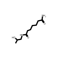 CC(O)CNC(=O)CCCCCC(N)=O